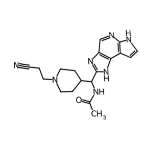 CC(=O)NC(c1nc2cnc3[nH]ccc3c2[nH]1)C1CCN(CCC#N)CC1